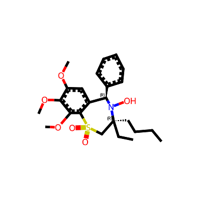 CCCC[C@]1(CC)CS(=O)(=O)c2c(cc(OC)c(OC)c2OC)[C@@H](c2ccccc2)N1O